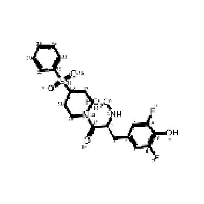 O=C(O)N[C@@H](Cc1cc(F)c(O)c(F)c1)C(=O)N1CCC(S(=O)(=O)c2ccccc2)CC1